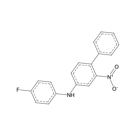 O=[N+]([O-])c1cc(Nc2ccc(F)cc2)ccc1-c1ccccc1